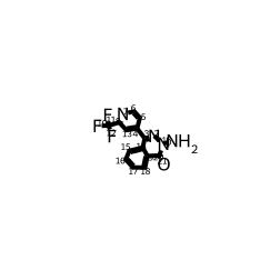 Nn1nc(-c2ccnc(C(F)(F)F)c2)c2ccccc2c1=O